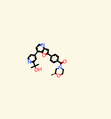 C[C@H]1CN(C(=O)c2ccc(-c3cc4nccc(-c5ccnc(C(C)(C)O)c5)c4o3)cc2)CCO1